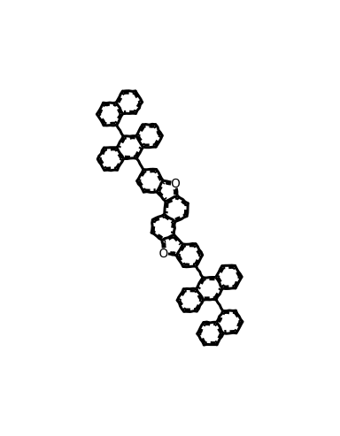 c1ccc2c(-c3c4ccccc4c(-c4ccc5c(c4)oc4ccc6c(ccc7oc8cc(-c9c%10ccccc%10c(-c%10cccc%11ccccc%10%11)c%10ccccc9%10)ccc8c76)c45)c4ccccc34)cccc2c1